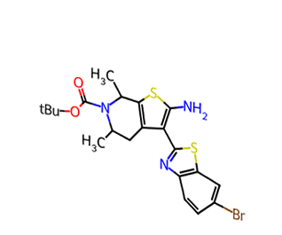 CC1Cc2c(sc(N)c2-c2nc3ccc(Br)cc3s2)C(C)N1C(=O)OC(C)(C)C